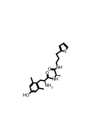 Cc1cc(O)cc(C)c1C[C@H](N)C(=O)N[C@H](C)C(=O)NCCCc1cccs1